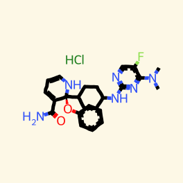 CN(C)c1nc(NC2CCC([C@@]3(Oc4ccccc4)NC=CC=C3C(N)=O)CC2)ncc1F.Cl